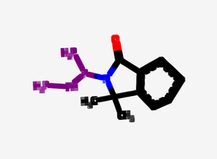 CC1(C)c2ccccc2C(=O)N1P(P)PP